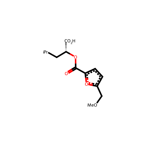 COCc1ccc(C(=O)O[C@H](CC(C)C)C(=O)O)o1